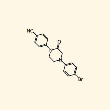 N#Cc1ccc(N2CCN(c3ccc(Br)cc3)CC2=O)cc1